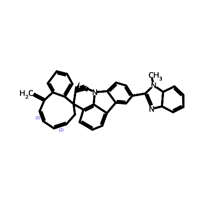 C=C1/C=C\C=C/CC2(c3ccccc31)c1ccccc1-n1c3ccc(C4=NC5C=CC=CC5N4C)cc3c3cccc2c31